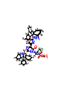 O=C(NC1C(=O)N(S(=O)(=O)O)C1CCl)C(=NOCCNC(c1ccccc1)(c1ccccc1)c1ccccc1)c1csc(NC(c2ccccc2)(c2ccccc2)c2ccccc2)n1